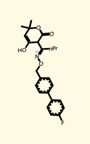 CCC/C(=N\OCc1ccc(-c2ccc(F)cc2)cc1)C1C(=O)OC(C)(C)C=C1O